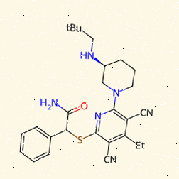 CCc1c(C#N)c(SC(C(N)=O)c2ccccc2)nc(N2CCC[C@H](NCC(C)(C)C)C2)c1C#N